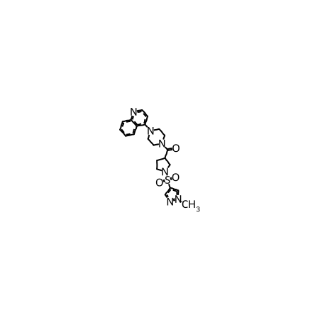 Cn1cc(S(=O)(=O)N2CCC(C(=O)N3CCN(c4ccnc5ccccc45)CC3)C2)cn1